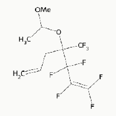 C=CCC(OC(C)OC)(C(F)(F)F)C(F)(F)C(F)=C(F)F